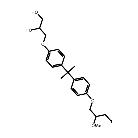 COC(CI)COc1ccc(C(C)(C)c2ccc(OCC(O)CO)cc2)cc1